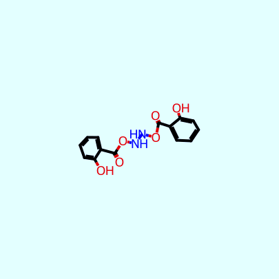 O=C(ONNOC(=O)c1ccccc1O)c1ccccc1O